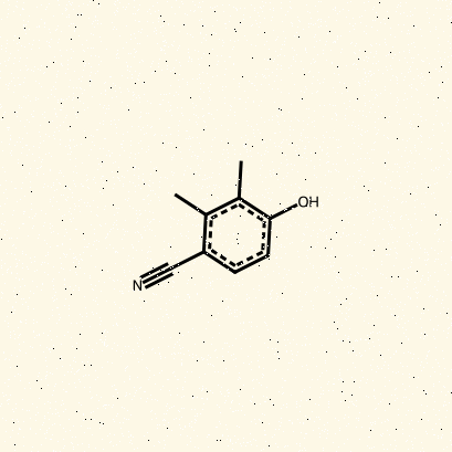 Cc1c(O)ccc(C#N)c1C